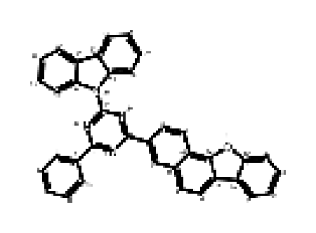 c1ccc(-c2nc(-c3ccc4c(ccc5c6ccccc6oc45)c3)nc(-n3c4ccccc4c4ccccc43)n2)cc1